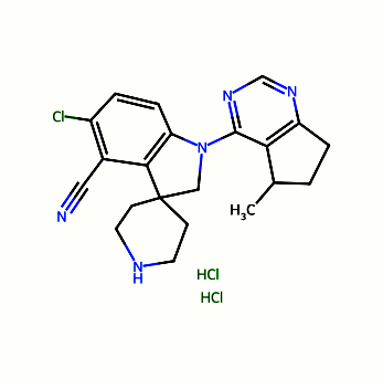 CC1CCc2ncnc(N3CC4(CCNCC4)c4c3ccc(Cl)c4C#N)c21.Cl.Cl